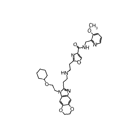 COc1cccnc1CNC(=O)c1coc(CCNCCc2nc3cc4c(cc3n2CCOC2CCCCC2)OCCO4)n1